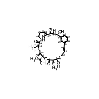 CC(C)[C@@H]1OC(=O)[C@H](C)[C@H](O)CC/C=C/c2cccc(c2)[C@@H](C)NC(=O)[C@@H]2CCCN(N2)C(=O)[C@H](C)NC1=O